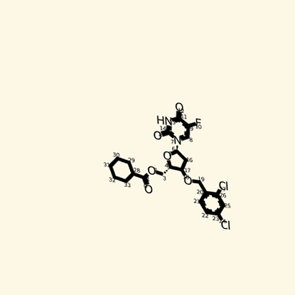 O=C(OC[C@@H]1O[C@H](n2cc(F)c(=O)[nH]c2=O)CC1OCc1ccc(Cl)cc1Cl)C1CCCCC1